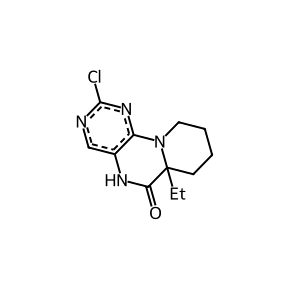 CCC12CCCCN1c1nc(Cl)ncc1NC2=O